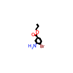 C=CCOC(=O)c1ccc(Br)c(N)c1